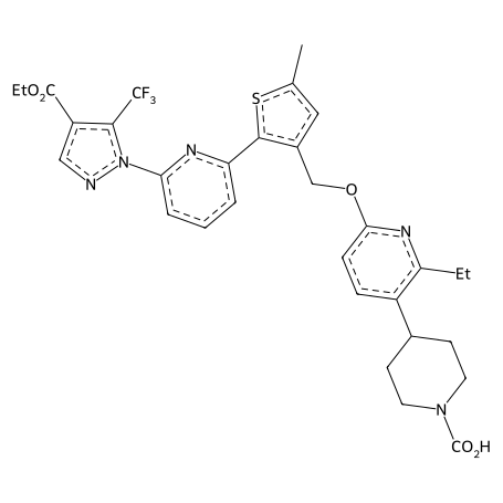 CCOC(=O)c1cnn(-c2cccc(-c3sc(C)cc3COc3ccc(C4CCN(C(=O)O)CC4)c(CC)n3)n2)c1C(F)(F)F